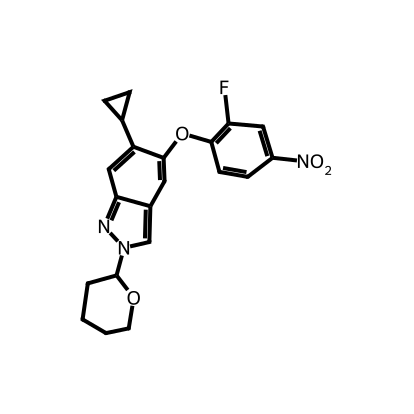 O=[N+]([O-])c1ccc(Oc2cc3cn(C4CCCCO4)nc3cc2C2CC2)c(F)c1